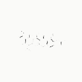 CC(=O)Cc1cc(I)c2c(c1O)C(=O)C1=C(O)[C@]3(O)C(=O)C(C(N)=O)=C(O)[C@@H](N(C)C)[C@@H]3C[C@@H]1C2